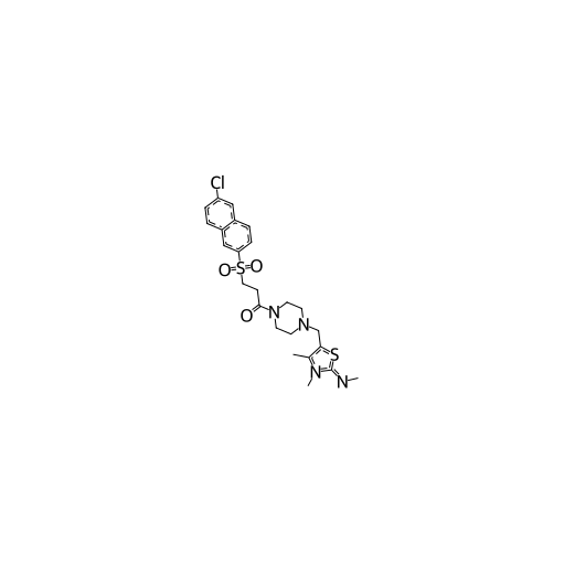 C/N=c1\sc(CN2CCN(C(=O)CCS(=O)(=O)c3ccc4cc(Cl)ccc4c3)CC2)c(C)n1C